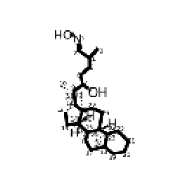 CC(C=NO)CCC(O)[C@@H](C)[C@H]1CC[C@H]2[C@@H]3CCC4CCCC[C@]4(C)[C@H]3CC[C@]12C